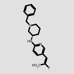 O=C(O)/C(F)=C\c1ccc(N[C@@H]2CCCN(Cc3ccccc3)C2)nc1